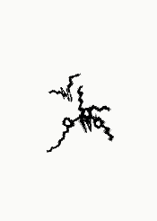 CCCCCCCCc1cccc(C2=C(CCCCCC)C(CCCC)=C(c3ccc(CCCC)cc3)[N+]2=[N-])c1.CCCC[CH2][Ni][CH2]CCCC